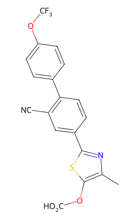 Cc1nc(-c2ccc(-c3ccc(OC(F)(F)F)cc3)c(C#N)c2)sc1OC(=O)O